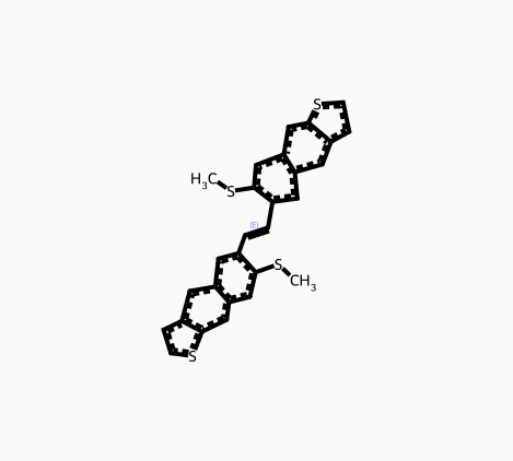 CSc1cc2cc3sccc3cc2cc1/C=C/c1cc2cc3ccsc3cc2cc1SC